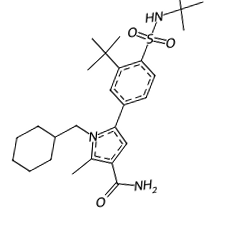 Cc1c(C(N)=O)cc(-c2ccc(S(=O)(=O)NC(C)(C)C)c(C(C)(C)C)c2)n1CC1CCCCC1